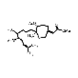 COC(=O)/C=C1\CC[C@@H](OC(C)=O)[C@](C)(CCCC(C)C(CC=C(C)C)OC(C)=O)OC1